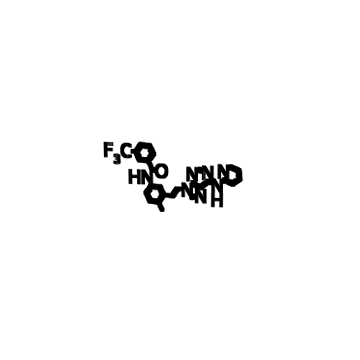 Cc1ccc(NC(=O)c2cccc(C(F)(F)F)c2)cc1/C=C/n1cnc2c(Nc3ccccn3)ncnc21